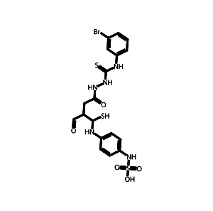 O=CC(CC(=O)NNC(=S)Nc1cccc(Br)c1)C(S)Nc1ccc(NS(=O)(=O)O)cc1